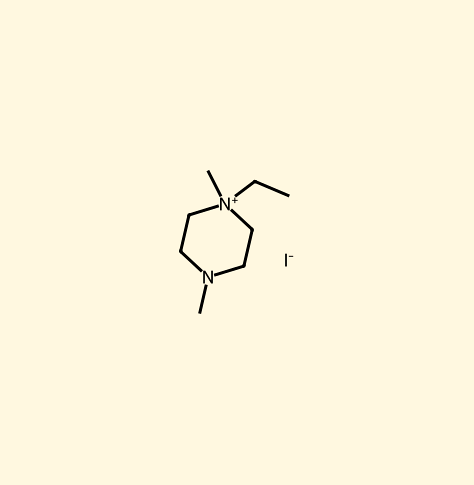 CC[N+]1(C)CCN(C)CC1.[I-]